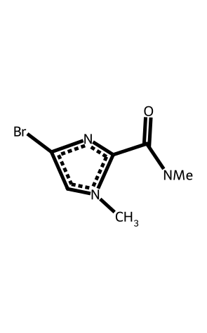 CNC(=O)c1nc(Br)cn1C